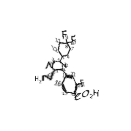 Nc1ncc(C2CCC(F)(F)CC2)nc1-c1ccc(C(=O)O)c(F)c1